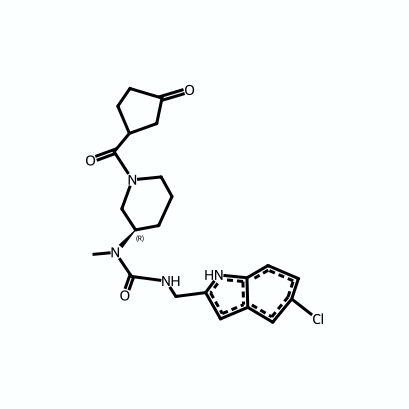 CN(C(=O)NCc1cc2cc(Cl)ccc2[nH]1)[C@@H]1CCCN(C(=O)C2CCC(=O)C2)C1